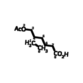 CC.CC(=O)OCCCCCC(=O)O